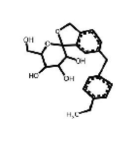 CCc1ccc(Cc2ccc3c(c2)C2(OC3)OC(CO)C(O)C(O)C2O)cc1